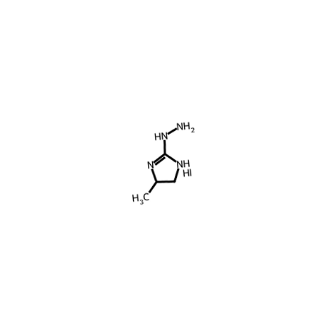 CC1CNC(NN)=N1.I